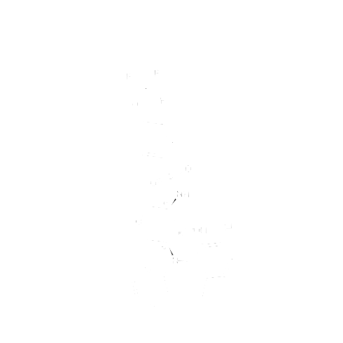 O=S(=O)(N[C@@H]1COC[C@H](N2c3ccccc3CCc3ccc(Cl)cc32)[C@H]1O)c1ccc(OC(F)(F)F)cc1